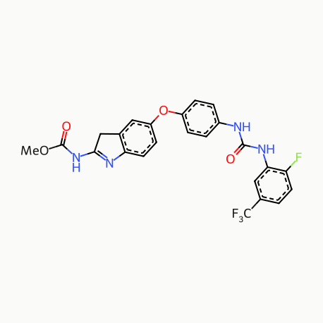 COC(=O)NC1=Nc2ccc(Oc3ccc(NC(=O)Nc4cc(C(F)(F)F)ccc4F)cc3)cc2C1